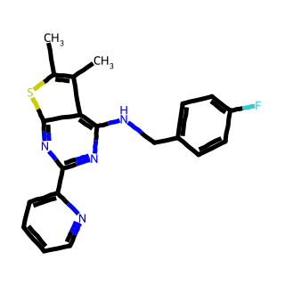 Cc1sc2nc(-c3ccccn3)nc(NCc3ccc(F)cc3)c2c1C